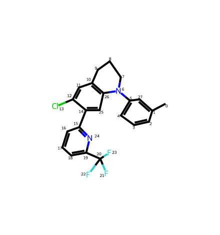 Cc1cccc(N2CCCc3cc(Cl)c(-c4cccc(C(F)(F)F)n4)cc32)c1